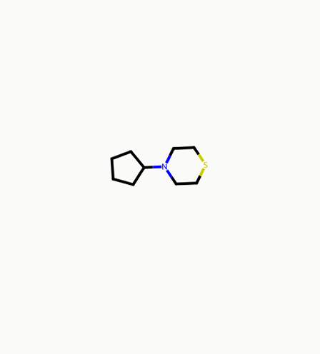 C1CC[C](N2CCSCC2)C1